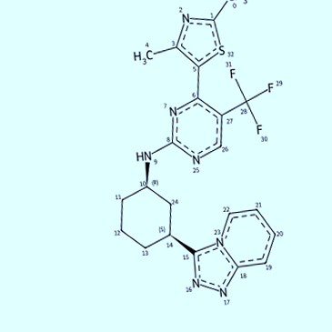 Cc1nc(C)c(-c2nc(N[C@@H]3CCC[C@H](c4nnc5ccccn45)C3)ncc2C(F)(F)F)s1